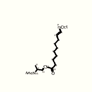 CCCCCCCCC=CCCCCCCCC(=O)OCC(C)NC